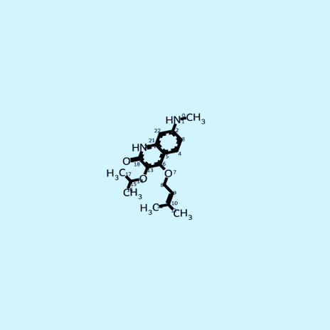 CNc1ccc2c(OCC=C(C)C)c(OC(C)C)c(=O)[nH]c2c1